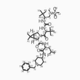 CN(C[C@@H](NC(=O)N[C@H](C(=O)N1C[C@H]2[C@@H]([C@H]1C(=O)N[C@@H](CC(F)F)C(=O)NC1CCN(Cc3ccccc3)CC1)C2(C)C)C(C)(C)C)C(C)(C)C)S(C)(=O)=O